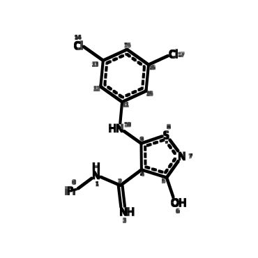 CC(C)NC(=N)c1c(O)nsc1Nc1cc(Cl)cc(Cl)c1